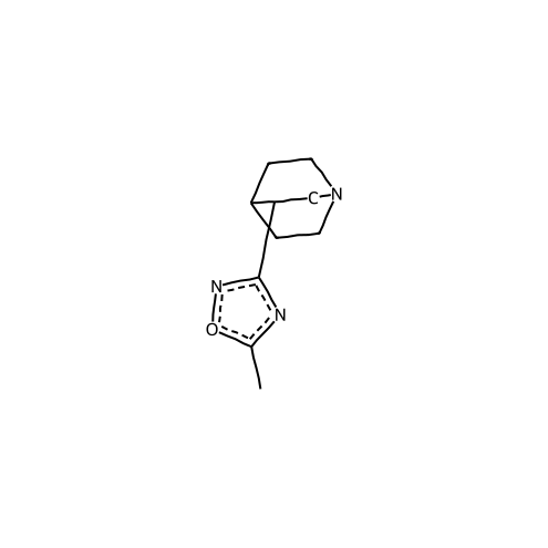 Cc1nc(C2CN3CCC2CC3)no1